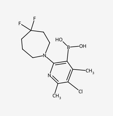 Cc1nc(N2CCCC(F)(F)CC2)c(B(O)O)c(C)c1Cl